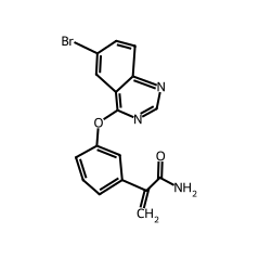 C=C(C(N)=O)c1cccc(Oc2ncnc3ccc(Br)cc23)c1